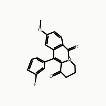 COc1ccc2c(=O)n3c(c(-c4cccc(F)c4)c2c1)C(=O)CCC3